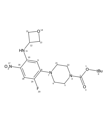 CC(C)(C)OC(=O)N1CCN(c2cc(NC3COC3)c([N+](=O)[O-])cc2F)CC1